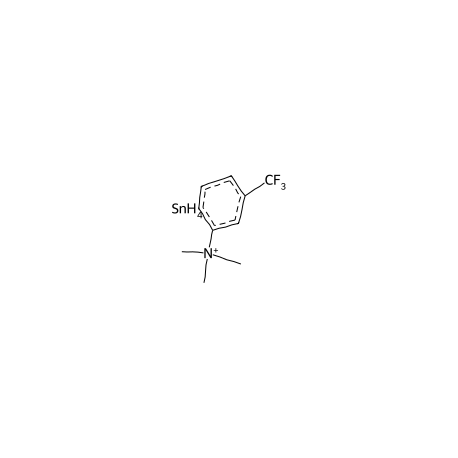 C[N+](C)(C)c1cccc(C(F)(F)F)c1.[SnH4]